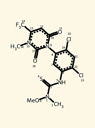 CON(C)C(=S)Nc1cc(-n2c(=O)cc(C(F)(F)F)n(C)c2=O)c(Cl)cc1Cl